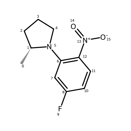 C[C@@H]1CCCN1c1cc(F)ccc1[N+](=O)[O-]